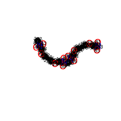 Cc1cc(C)c(N2C(=O)c3ccc(Oc4ccc(C(C)(C)c5ccc(Oc6ccc7c(c6)C(=O)N(C6CCCCC6)C7=O)cc5)cc4)cc3C2=O)c(C)c1N1C(=O)c2ccc(Oc3ccc(C(C)(C)c4ccc(Oc5ccc6c(c5)C(=O)N(C)C6=O)cc4)cc3)cc2C1=O